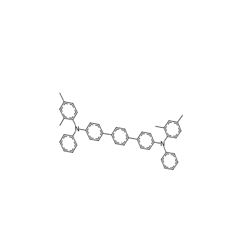 Cc1ccc(N(c2ccccc2)c2ccc(-c3ccc(-c4ccc(N(c5ccccc5)c5ccc(C)cc5C)cc4)cc3)cc2)c(C)c1